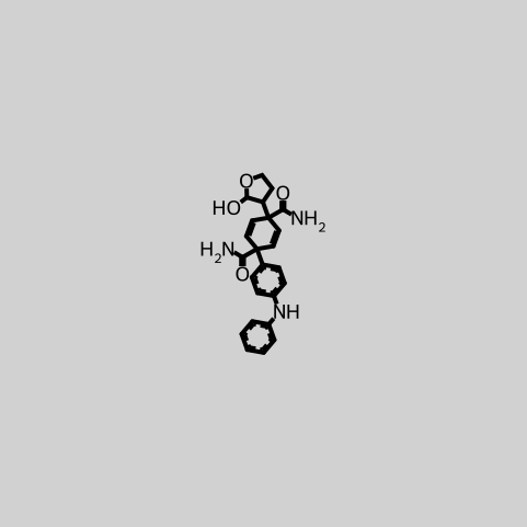 NC(=O)C1(c2ccc(Nc3ccccc3)cc2)C=CC(C(N)=O)(C2CCOC2O)C=C1